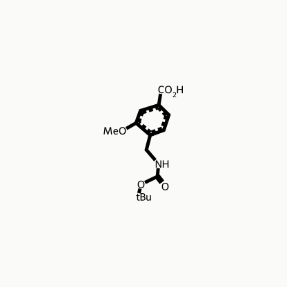 COc1cc(C(=O)O)ccc1CNC(=O)OC(C)(C)C